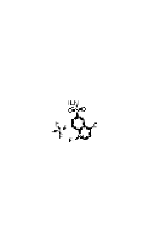 CC[n+]1ccc(Cl)c2cc(S(N)(=O)=O)ccc21.F[B-](F)(F)F